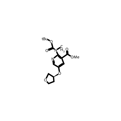 COC(=O)c1cc(O[C@H]2CCOC2)cnc1N(C)C(=O)OC(C)(C)C